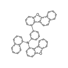 c1cc(-c2cccc3oc4c5ccccc5ccc4c23)cc(N(c2cccc3ccccc23)c2cccc3oc4ccccc4c23)c1